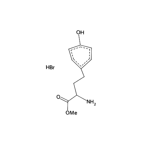 Br.COC(=O)C(N)CCc1ccc(O)cc1